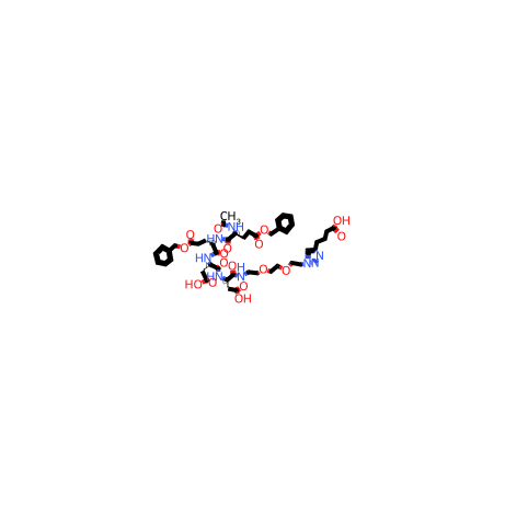 CC(=O)N[C@@H](CCC(=O)OCc1ccccc1)C(=O)N[C@@H](CCC(=O)OCc1ccccc1)C(=O)N[C@@H](CC(=O)O)C(=O)N[C@@H](CC(=O)O)C(=O)NCCOCCOCCn1cc(CCCC(=O)O)nn1